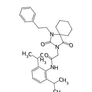 CC(C)c1cccc(C(C)C)c1NC(=O)CN1C(=O)N(CCc2ccccc2)C2(CCCCC2)C1=O